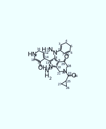 NN(C1=CCCC=C1)c1c2c(n(N)c1C1=CCNC=C1O)CN(C(=O)C1CC1)CC2=O